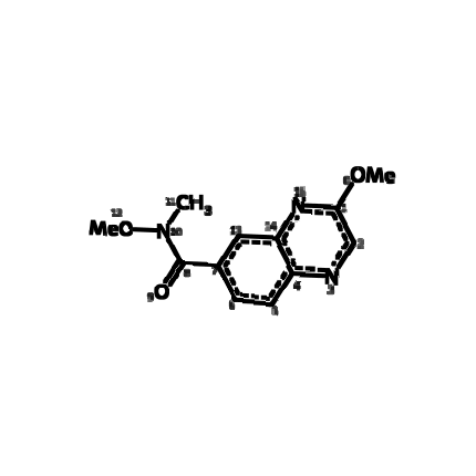 COc1cnc2ccc(C(=O)N(C)OC)cc2n1